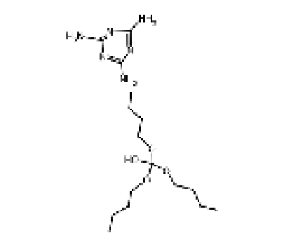 CCCCOC(O)(OCCCC)OCCCC.Nc1nc(N)nc(N)n1